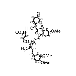 COc1ccc(OCCCCN(C)CCc2ccc(OC)c(OC)c2)c(C2Sc3cc(Cl)ccc3N(C)C2=O)c1.O=C(O)/C=C/C(=O)O